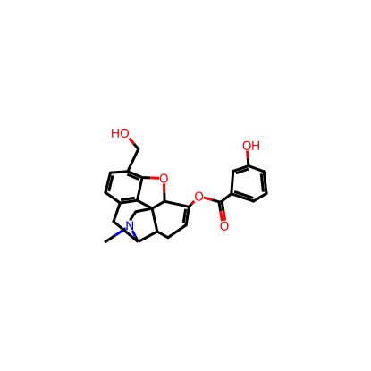 CN1CCC23c4c5ccc(CO)c4OC2C(OC(=O)c2cccc(O)c2)=CCC3C1C5